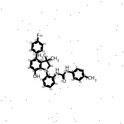 Cc1ccc(NC(=O)Nc2ccccc2N2CC(C)(C)c3c(-c4ccc(F)cc4)ccc(O)c32)cc1